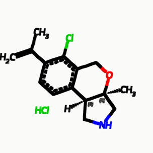 C=C(C)c1ccc2c(c1Cl)CO[C@@]1(C)CNC[C@@H]21.Cl